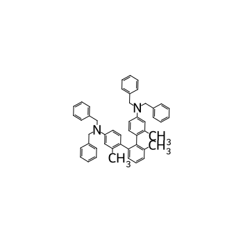 Cc1cc(N(Cc2ccccc2)Cc2ccccc2)ccc1-c1cccc(C)c1-c1ccc(N(Cc2ccccc2)Cc2ccccc2)cc1C